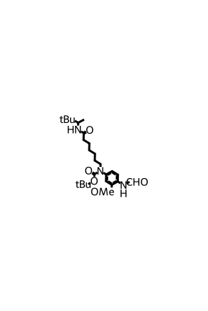 COc1cc(N(CCCCCCC(=O)NC(C)C(C)(C)C)C(=O)OC(C)(C)C)ccc1NC=O